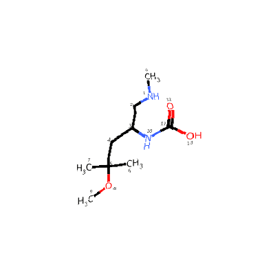 CNCC(CC(C)(C)OC)NC(=O)O